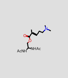 CC(=O)NC(COC(=O)C(C)=CCCN(C)C)NC(C)=O